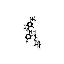 Cc1cc(N=S(C)C)cc2ncnc(Nc3ccc(F)cc3OC(C)Cn3ccnc3C)c12